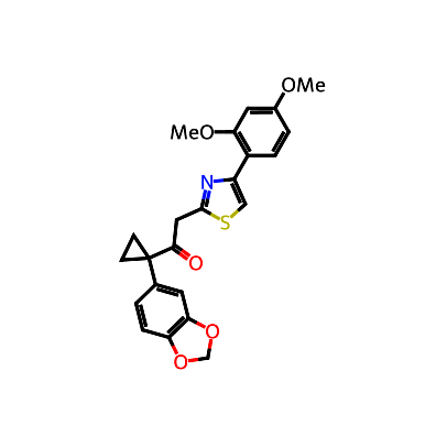 COc1ccc(-c2csc(CC(=O)C3(c4ccc5c(c4)OCO5)CC3)n2)c(OC)c1